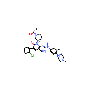 CCC(=O)N1CCC[C@H](n2c(=O)c(-c3ccccc3Cl)cc3cnc(Nc4ccc(N5CCN(C)CC5)c(C)c4)nc32)C1